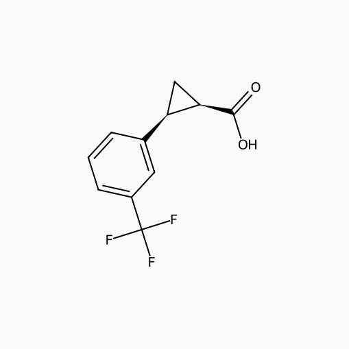 O=C(O)[C@@H]1C[C@@H]1c1cccc(C(F)(F)F)c1